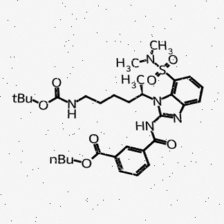 CCCCOC(=O)c1cccc(C(=O)Nc2nc3cccc(S(=O)(=O)N(C)C)c3n2[C@H](C)CCCCNC(=O)OC(C)(C)C)c1